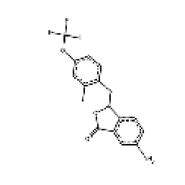 Cc1cc(OC(F)(F)F)ccc1CC1OC(=O)c2cc(N)ccc21